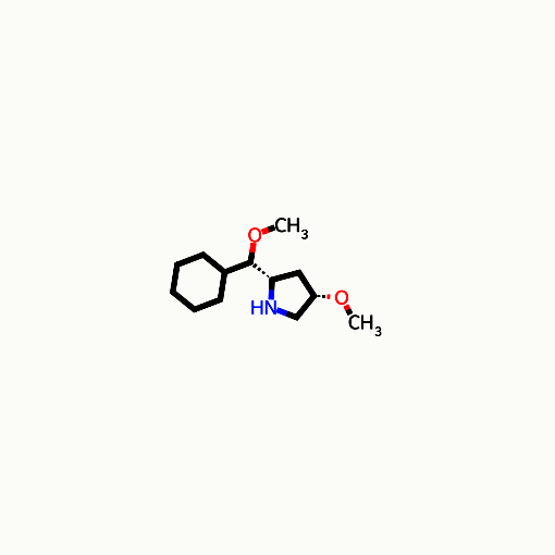 COC(C1CCCCC1)[C@@H]1C[C@H](OC)CN1